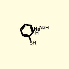 Sc1ccccc1.[NaH].[NaH]